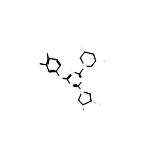 N[C@@H]1C[C@H](N)CN(c2nc(Nc3ccc(C(=O)O)c(O)c3)nc(N3C[C@@H](O)[C@@H](O)C3)n2)C1